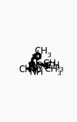 C[C@H]1CCCN(Cc2cc3c(Cl)c[nH]c(=O)c3n2COCC[Si](C)(C)C)C1